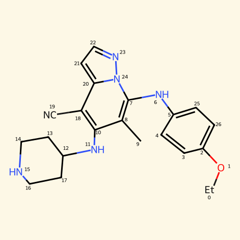 CCOc1ccc(Nc2c(C)c(NC3CCNCC3)c(C#N)c3ccnn23)cc1